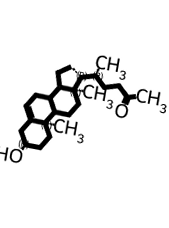 CC(=O)CC[C@@H](C)[C@H]1CCC2C3CC=C4C[C@H](O)CC[C@]4(C)C3CC[C@@]21C